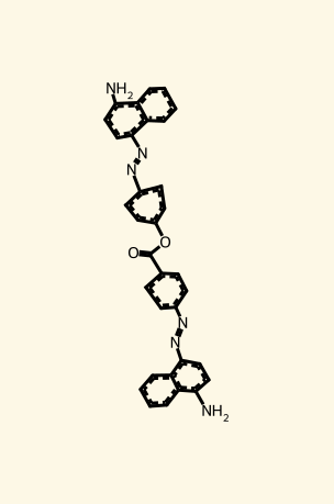 Nc1ccc(N=Nc2ccc(C(=O)Oc3ccc(/N=N/c4ccc(N)c5ccccc45)cc3)cc2)c2ccccc12